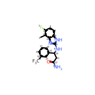 Cc1c(F)ccc2[nH]c(NC(CC(N)=O)c3cccc(C(F)(F)F)c3)nc12